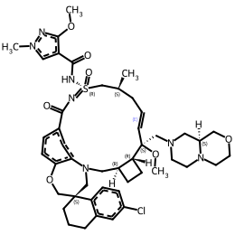 COc1nn(C)cc1C(=O)N[S@@]1(=O)=NC(=O)c2ccc3c(c2)N(C[C@@H]2CC[C@H]2[C@](CN2CCN4CCOC[C@@H]4C2)(OC)/C=C/C[C@H](C)C1)C[C@@]1(CCCc2cc(Cl)ccc21)CO3